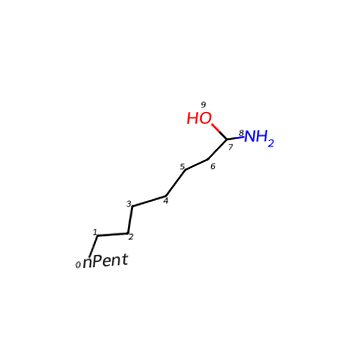 CCCCCCCCCCCC(N)O